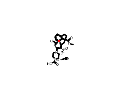 COC(=O)C1(Cc2nc(Cl)nc(N3CCN(C(=O)O)[C@@H](CC#N)C3)c2[N+](=O)[O-])CCc2ccccc21